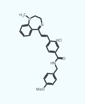 COc1ccc(CNC(=O)c2ccc(C=CC3=NCCN(C)c4ccccc43)cc2)cc1.Cl